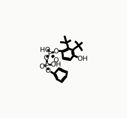 CC(C)(C)c1c(O)ccc(OP(=O)(O)OP(=O)(O)Oc2ccccc2)c1C(C)(C)C